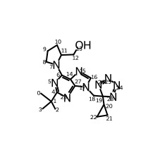 CC(C)(C)c1nc(N2CCCC2CO)c2ncn(CC3(C4CC4)N=NN=N3)c2n1